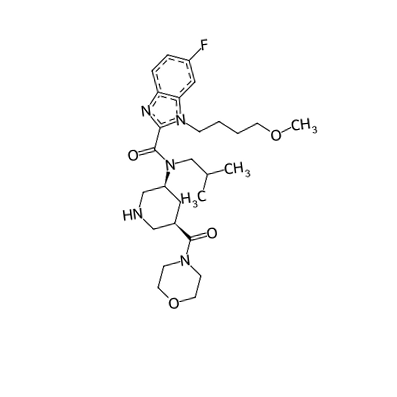 COCCCCn1c(C(=O)N(CC(C)C)[C@@H]2CNC[C@H](C(=O)N3CCOCC3)C2)nc2ccc(F)cc21